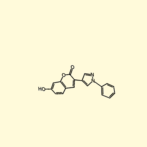 O=c1oc2cc(O)ccc2cc1-c1cnn(-c2ccccc2)c1